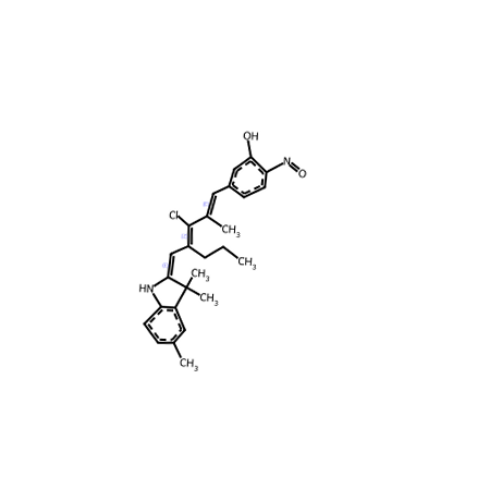 CCCC(/C=C1/Nc2ccc(C)cc2C1(C)C)=C(Cl)\C(C)=C\c1ccc(N=O)c(O)c1